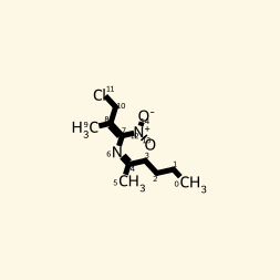 CCCC/C(C)=N\C(=C(/C)CCl)[N+](=O)[O-]